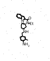 CCN(C(=O)c1cc2ccccc2[nH]1)[C@H]1CCC[C@@H](NCc2ccc(N)c(C)c2)C1